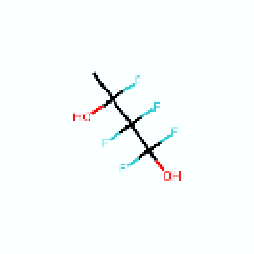 CC(O)(F)C(F)(F)C(O)(F)F